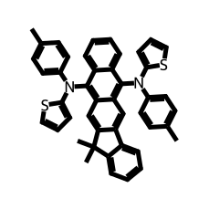 Cc1ccc(N(c2cccs2)c2c3ccccc3c(N(c3ccc(C)cc3)c3cccs3)c3cc4c(cc23)-c2ccccc2C4(C)C)cc1